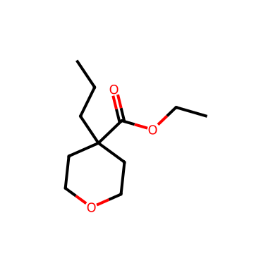 CCCC1(C(=O)OCC)CCOCC1